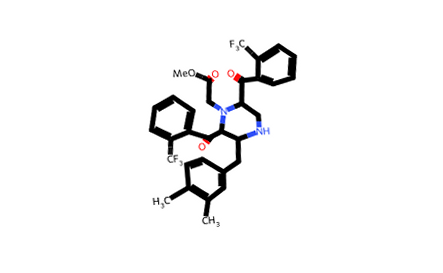 COC(=O)CN1C(C(=O)c2ccccc2C(F)(F)F)CNC(Cc2ccc(C)c(C)c2)C1C(=O)c1ccccc1C(F)(F)F